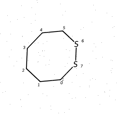 [C]1CCCCCSS1